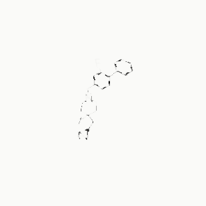 N#CCC1(I)CCN(Cc2ccc(-c3ccccc3)c(F)c2)CC1